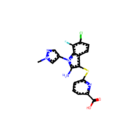 Cn1cc(-n2c(N)c(Sc3cccc(C(=O)O)n3)c3ccc(Cl)c(F)c32)cn1